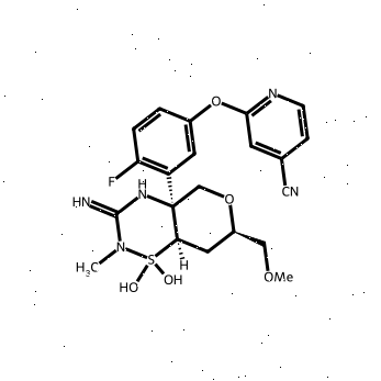 COC[C@H]1C[C@@H]2[C@](c3cc(Oc4cc(C#N)ccn4)ccc3F)(CO1)NC(=N)N(C)S2(O)O